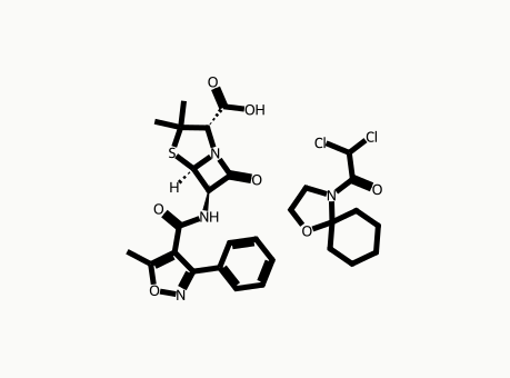 Cc1onc(-c2ccccc2)c1C(=O)N[C@@H]1C(=O)N2[C@@H]1SC(C)(C)[C@@H]2C(=O)O.O=C(C(Cl)Cl)N1CCOC12CCCCC2